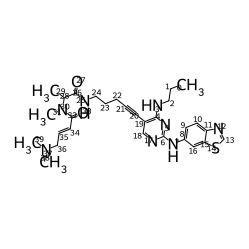 CCCNc1nc(Nc2ccc3ncsc3c2)ncc1C#CCCCNC(=O)C(C)N(C)C(=O)/C=C/CN(C)C